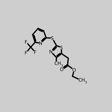 CCOC(=O)Cc1sc(Sc2cccc(C(F)(F)F)n2)nc1C